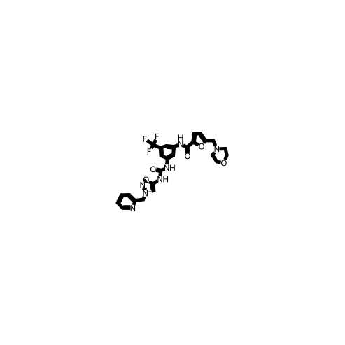 O=C(Nc1cc(NC(=O)c2ccc(CN3CCOCC3)o2)cc(C(F)(F)F)c1)Nc1c[n+](Cc2ccccn2)no1